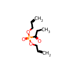 C=CCOP(=O)(OCC=C)C(=O)CC